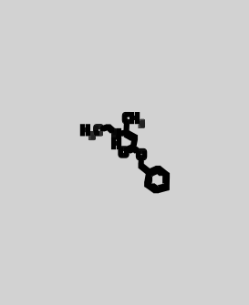 CCNC(C)=CC(=O)OCc1ccccc1